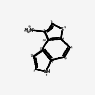 Nc1csc2ccc3[nH]ccc3c12